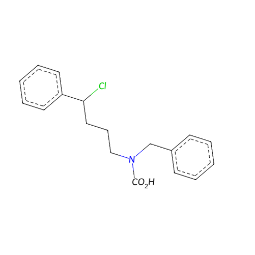 O=C(O)N(CCCC(Cl)c1ccccc1)Cc1ccccc1